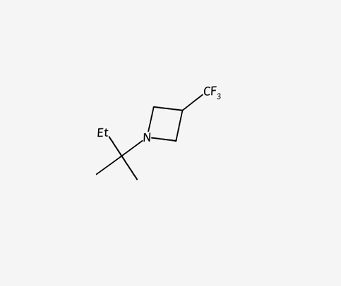 CCC(C)(C)N1CC(C(F)(F)F)C1